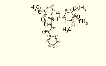 COc1cc(C=Cc2ccc(OC)c(OC)c2NC=CC(=O)c2ccccc2)cc(OC)c1OC